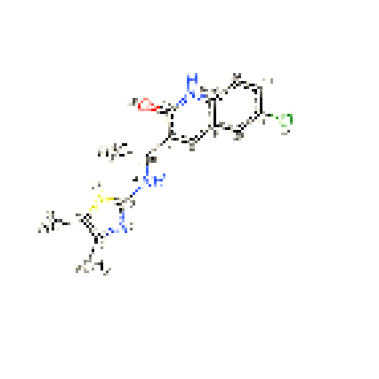 Cc1nc(N[C@H](C)c2cc3cc(Cl)ccc3[nH]c2=O)sc1C#N